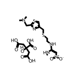 CNC(=C[N+](=O)[O-])NCCSCc1csc(CN(C)C)n1.O=C(O)CC(O)(CC(=O)O)C(=O)O